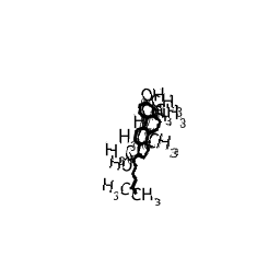 CC(C)=CCC[C@](C)(O)C1CC[C@]2(C)C1CC[C@@H]1[C@@]3(C)CC[C@H](O)C(C)(C)[C@@H]3CC[C@]12C